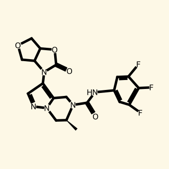 C[C@H]1Cn2ncc(N3C(=O)OC4COCC43)c2CN1C(=O)Nc1cc(F)c(F)c(F)c1